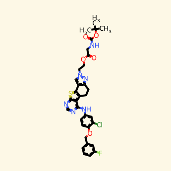 CC(C)(C)OC(=O)NCC(=O)OCCn1cc2c(n1)CCc1c-2sc2ncnc(Nc3ccc(OCc4cccc(F)c4)c(Cl)c3)c12